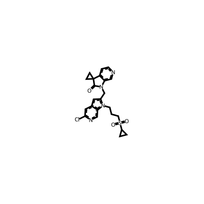 O=C1N(Cc2cc3cc(Cl)ncc3n2CCCS(=O)(=O)C2CC2)c2cnccc2C12CC2